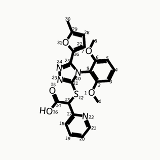 COc1cccc(OC)c1-n1c(SC(C(=O)O)c2ccccn2)nnc1-c1ccc(C)o1